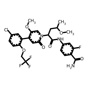 COc1cn(C(CC(C)OC)C(=O)Nc2ccc(C(N)=O)c(F)c2)c(=O)cc1-c1cc(Cl)ccc1OCC(F)(F)F